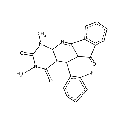 CN1C(=O)C2C(c3ccccc3F)C3C(=O)c4ccccc4C3=NC2N(C)C1=O